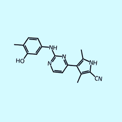 Cc1ccc(Nc2nccc(-c3c(C)[nH]c(C#N)c3C)n2)cc1O